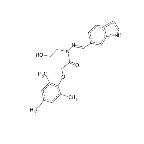 Cc1cc(C)c(OCC(=O)N(CCO)N=Cc2ccc3cc[nH]c3c2)c(C)c1